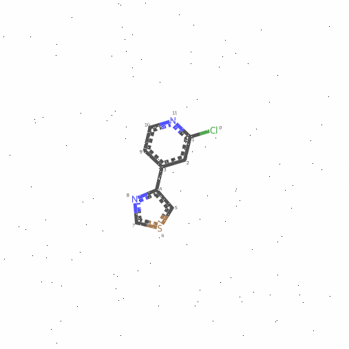 Clc1cc(-c2cscn2)ccn1